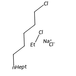 CCCCCCCCCCCCCl.CCCl.[Cl-].[Na+]